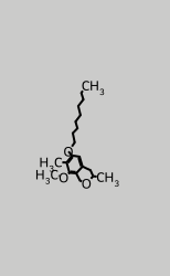 CCCCCCCCCOc1cc2c(c(OC)c1C)COC(C)C2